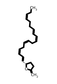 C=C1CC[C@@H](/C=C/C=C\C/C=C\C/C=C\C=C\CC/C=C\CC)O1